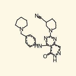 N#CC1CCCN(c2nc(Nc3ccc(CN4CCCCC4)cc3)c3c(=O)[nH]ncc3n2)C1